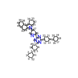 c1ccc(-c2ccc(-c3nc(-c4ccc(-c5ccccc5)cc4)nc(-c4ccc(-n5c6ccccc6c6c7ccccc7ccc65)cn4)n3)cc2)cc1